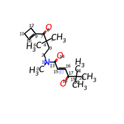 CN(CCC(C)(C)C(=O)C1=CCC1)C(=O)/C=C/C(=O)C(C)(C)C